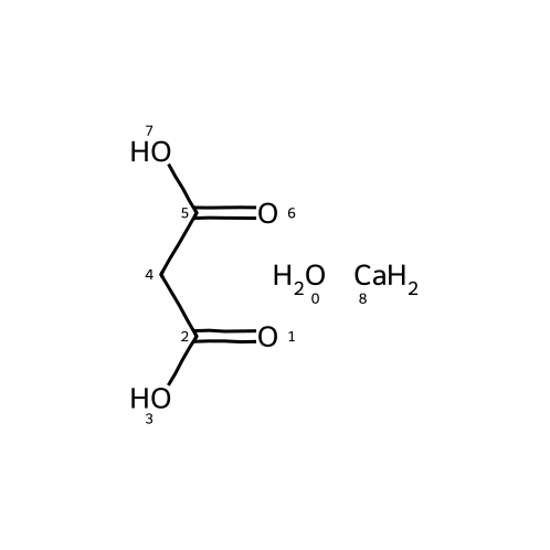 O.O=C(O)CC(=O)O.[CaH2]